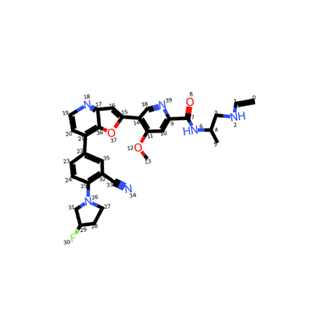 C=CNCC(C)NC(=O)c1cc(OC)c(-c2cc3nccc(-c4ccc(N5CCC(F)C5)c(C#N)c4)c3o2)cn1